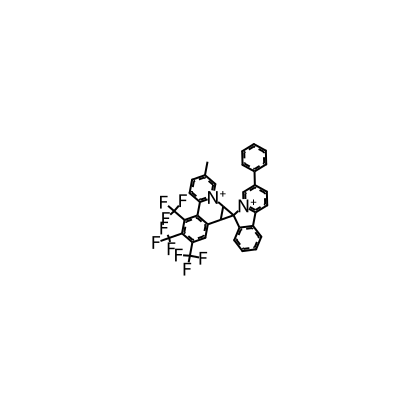 Cc1ccc2[n+](c1)C1C(c3cc(C(F)(F)F)c(C(F)(F)F)c(C(F)(F)F)c3-2)C12c1ccccc1-c1ccc(-c3ccccc3)c[n+]12